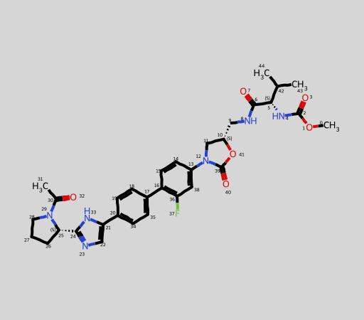 COC(=O)N[C@H](C(=O)NC[C@H]1CN(c2ccc(-c3ccc(-c4cnc([C@@H]5CCCN5C(C)=O)[nH]4)cc3)c(F)c2)C(=O)O1)C(C)C